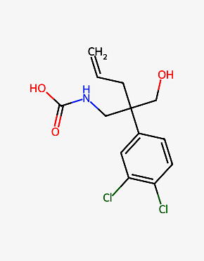 C=CCC(CO)(CNC(=O)O)c1ccc(Cl)c(Cl)c1